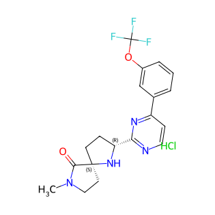 CN1CC[C@@]2(CC[C@H](c3nccc(-c4cccc(OC(F)(F)F)c4)n3)N2)C1=O.Cl